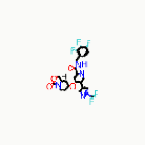 O=C(NCc1ccc(F)c(F)c1F)c1cc(O[C@H]2CCN3C(=O)OC[C@@H]3C2)c(-c2cnn(C(F)F)c2)cn1